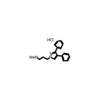 CNCCCn1cc(-c2ccccc2)c(-c2ccccc2)n1.Cl